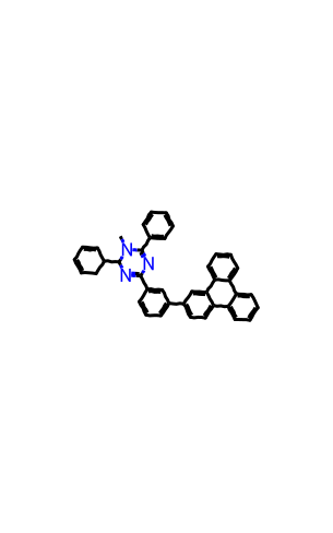 CN1C(c2ccccc2)=NC(c2cccc(-c3ccc4c5ccccc5c5ccccc5c4c3)c2)=NC1C1C=CC=CC1